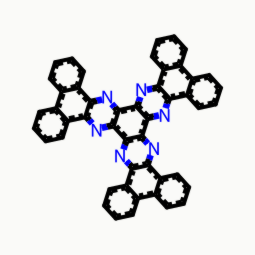 c1ccc2c(c1)c1ccccc1c1nc3c(nc21)c1nc2c4ccccc4c4ccccc4c2nc1c1nc2c4ccccc4c4ccccc4c2nc31